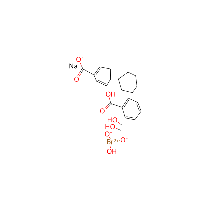 C1CCCCC1.CO.CO.O=C(O)c1ccccc1.O=C([O-])c1ccccc1.[Na+].[O-][Br+2]([O-])O